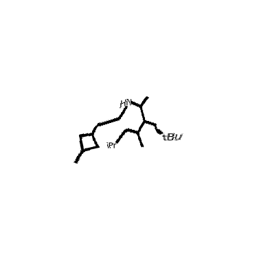 CC(C)CC(C)C(CC(C)(C)C)C(C)NCCC1CC(C)C1